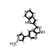 Cn1cc(-c2cnc3[nH]nc(-c4cc5ccncc5[nH]4)c3c2)cn1